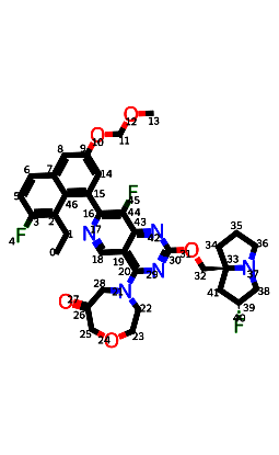 CCc1c(F)ccc2cc(OCOC)cc(-c3ncc4c(N5CCOCC(=O)C5)nc(OC[C@@]56CCCN5C[C@H](F)C6)nc4c3F)c12